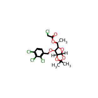 C[C@@H](OC(=O)CCl)[C@H]1O[C@@H]2OC(C)(C)O[C@@H]2[C@H]1OCc1ccc(Cl)c(Cl)c1Cl